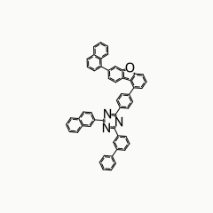 c1ccc(-c2cccc(-c3nc(-c4ccc(-c5cccc6oc7cc(-c8cccc9ccccc89)ccc7c56)cc4)nc(-c4ccc5ccccc5c4)n3)c2)cc1